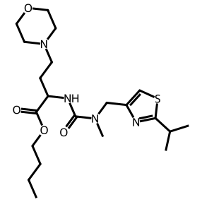 CCCCOC(=O)C(CCN1CCOCC1)NC(=O)N(C)Cc1csc(C(C)C)n1